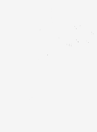 Oc1cc2ccc(C#CCc3ccccc3)cc2c(O)c1Cn1cnnn1